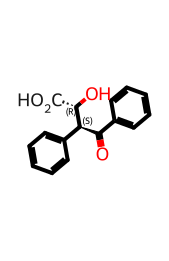 O=C(O)[C@H](O)[C@@H](C(=O)c1ccccc1)c1ccccc1